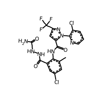 Cc1cc(Cl)cc(C(=O)NNC(N)=O)c1NC(=O)c1cc(C(F)(F)F)nn1-c1ncccc1Cl